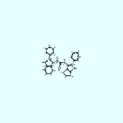 O=C(Nc1c2c(nn1-c1ccccc1)CCC2)Nc1c2ccccc2nn1-c1ccccc1